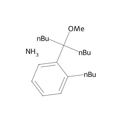 CCCCc1ccccc1C(CCCC)(CCCC)OC.N